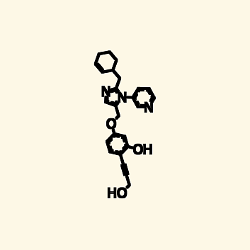 OCC#Cc1ccc(OCc2cnc(CC3C=CCCC3)n2-c2cccnc2)cc1O